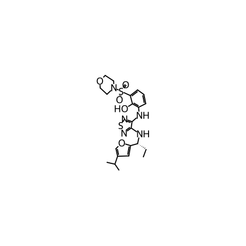 CC[C@@H](Nc1nsnc1Nc1cccc(S(=O)(=O)N2CCOCC2)c1O)c1cc(C(C)C)co1